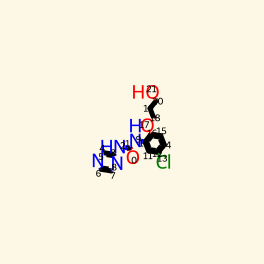 O=C(Nc1cnccn1)Nc1cc(Cl)ccc1OCCCO